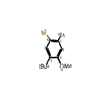 CCc1cc(OC)c(C(C)(C)C)cc1Br